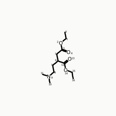 CCOC(=O)CC(CCN(C)C)C(=O)OCC